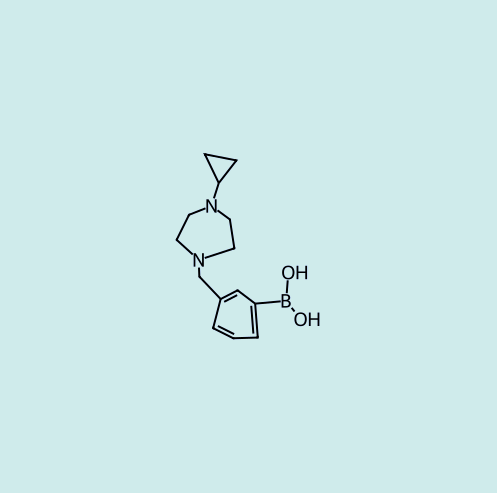 OB(O)c1cccc(CN2CCN(C3CC3)CC2)c1